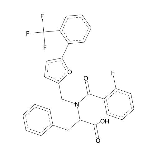 O=C(O)C(Cc1ccccc1)N(Cc1ccc(-c2ccccc2C(F)(F)F)o1)C(=O)c1ccccc1F